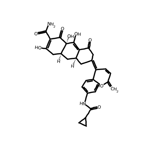 C=C(O)/C=C\C(=C1/CC(=O)C2=C(O)[C@]3(O)C(=O)C(C(N)=O)=C(O)C[C@@H]3C[C@@H]2C1)c1ccc(NC(=O)C2CC2)cc1